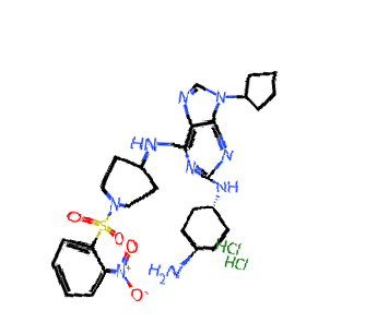 Cl.Cl.N[C@H]1CC[C@H](Nc2nc(NC3CCN(S(=O)(=O)c4ccccc4[N+](=O)[O-])CC3)c3ncn(C4CCCC4)c3n2)CC1